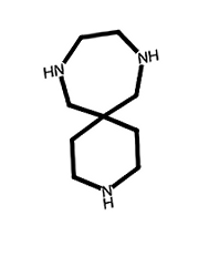 C1CC2(CCN1)CNCCNC2